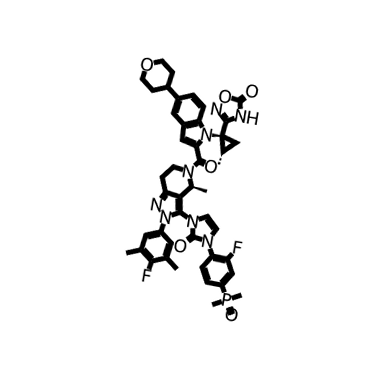 Cc1cc(-n2nc3c(c2-n2ccn(-c4ccc(P(C)(C)=O)cc4F)c2=O)[C@H](C)N(C(=O)c2cc4cc(C5CCOCC5)ccc4n2[C@@]2(c4noc(=O)[nH]4)C[C@@H]2C)CC3)cc(C)c1F